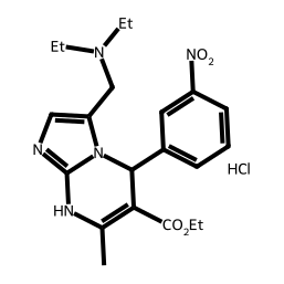 CCOC(=O)C1=C(C)Nc2ncc(CN(CC)CC)n2C1c1cccc([N+](=O)[O-])c1.Cl